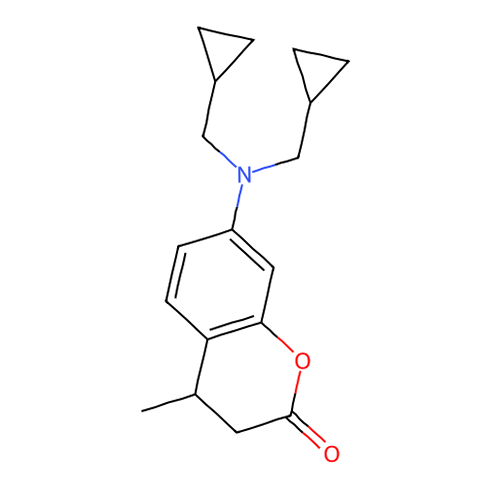 CC1CC(=O)Oc2cc(N(CC3CC3)CC3CC3)ccc21